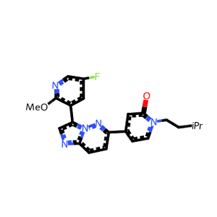 COc1ncc(F)cc1-c1cnc2ccc(-c3ccn(CCC(C)C)c(=O)c3)nn12